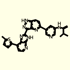 C=C(Nc1cncc(-c2ccc3[nH]nc(-c4nc5c(-c6ccc(C)s6)ccnc5[nH]4)c3n2)c1)C(C)C